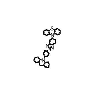 c1ccc2c(c1)Cc1ccccc1N2c1ccc(-n2nc3ccc(N4c5ccccc5Sc5ccccc54)cc3n2)cc1